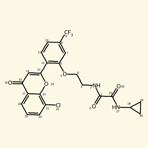 O=C(NCCOc1cc(C(F)(F)F)ccc1-c1cc(=O)c2cccc(Cl)c2o1)C(=O)NC1CC1